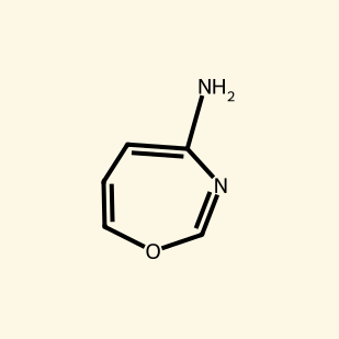 NC1=CC=COC=N1